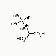 CCCCC(C(=O)O)C(=O)O.CCC[N+](CCC)(CCC)CCC